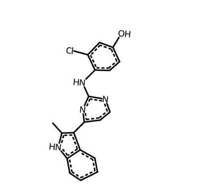 Cc1[nH]c2ccccc2c1-c1ccnc(Nc2ccc(O)cc2Cl)n1